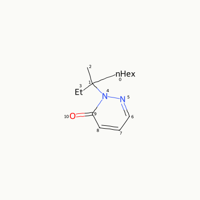 CCCCCCC(C)(CC)n1ncccc1=O